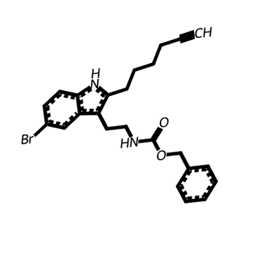 C#CCCCCc1[nH]c2ccc(Br)cc2c1CCNC(=O)OCc1ccccc1